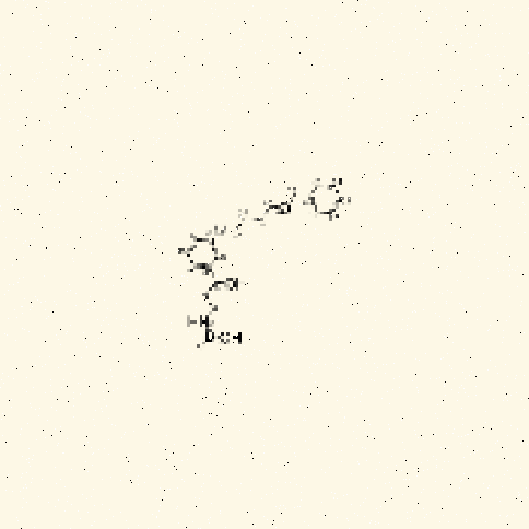 CB(O)NCCC(O)c1cccc(OCCCCOCc2ccccc2)c1